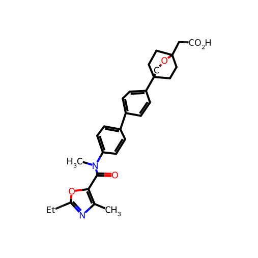 CCc1nc(C)c(C(=O)N(C)c2ccc(-c3ccc(C45CCC(CC(=O)O)(CC4)OC5)cc3)cc2)o1